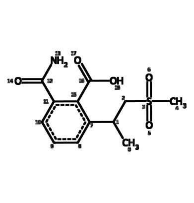 CC(CS(C)(=O)=O)c1cccc(C(N)=O)c1C(=O)O